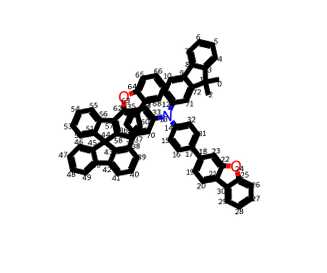 CC1(C)c2ccccc2-c2ccc(N(c3ccc(-c4ccc5c(c4)oc4ccccc45)cc3)c3cccc(-c4cccc5c4C4(c6ccccc6-5)c5ccccc5-c5c4ccc4c5oc5ccccc54)c3)cc21